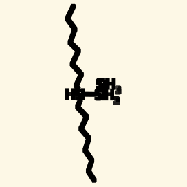 CCCCCCCC[SiH](CCCCCCCC)[SiH2][SiH3]